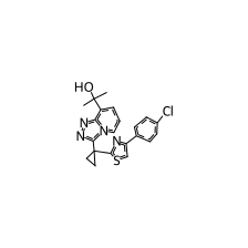 CC(C)(O)c1cccn2c(C3(c4nc(-c5ccc(Cl)cc5)cs4)CC3)nnc12